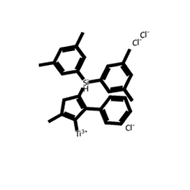 CC1=[C]([Ti+3])C(c2ccccc2)=C([SiH](c2cc(C)cc(C)c2)c2cc(C)cc(C)c2)C1.[Cl-].[Cl-].[Cl-]